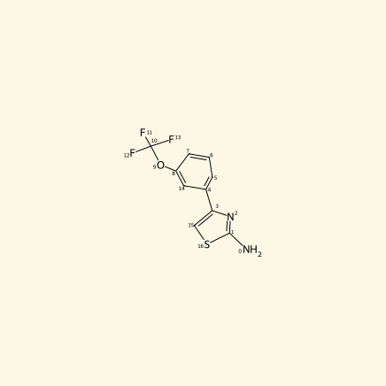 Nc1nc(-c2cccc(OC(F)(F)F)c2)cs1